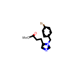 COC(=O)CCc1cncn1Cc1ccc(Br)cc1